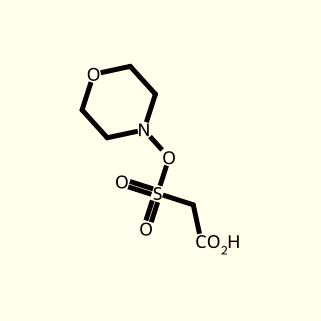 O=C(O)CS(=O)(=O)ON1CCOCC1